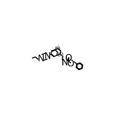 CCCN1CCN(C2=CC3CC(=C2)[C@H](C)C[C@H]3CCN(C)C(=O)OCc2ccccc2)CC1